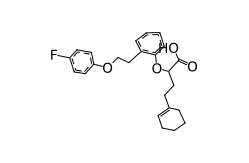 O=C(O)C(CCC1=CCCCC1)Oc1ccccc1CCOc1ccc(F)cc1